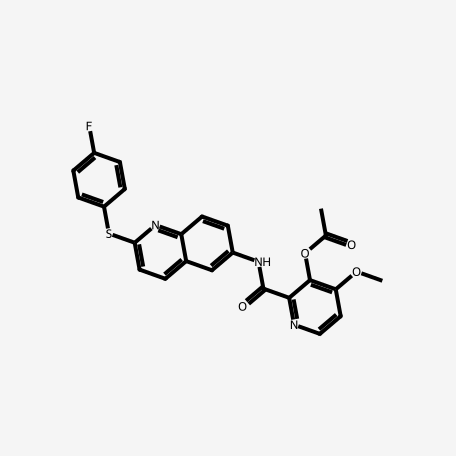 COc1ccnc(C(=O)Nc2ccc3nc(Sc4ccc(F)cc4)ccc3c2)c1OC(C)=O